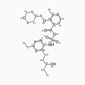 CCc1cnc(NS(=O)(=O)OC(=O)c2cccc(C)c2OCC2CCOCC2)c(CCC(O)CC)c1